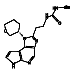 CC(C)(C)NC(=O)NCCc1nc2cnc3[nH]ccc3c2n1[C@H]1CCCOC1